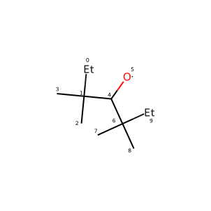 CCC(C)(C)C([O])C(C)(C)CC